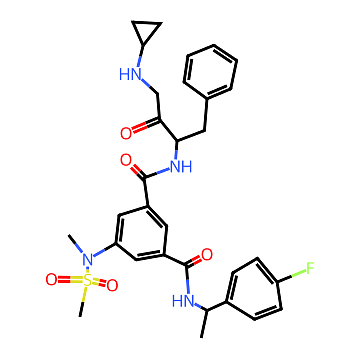 CC(NC(=O)c1cc(C(=O)NC(Cc2ccccc2)C(=O)CNC2CC2)cc(N(C)S(C)(=O)=O)c1)c1ccc(F)cc1